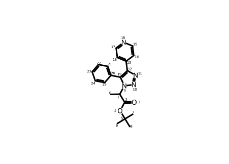 CC(C(=O)OC(C)(C)C)n1nnc(-c2ccncc2)c1-c1ccccc1